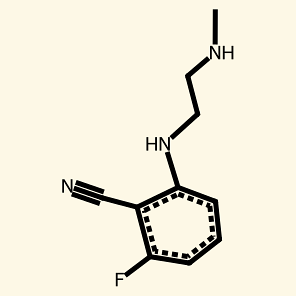 CNCCNc1cccc(F)c1C#N